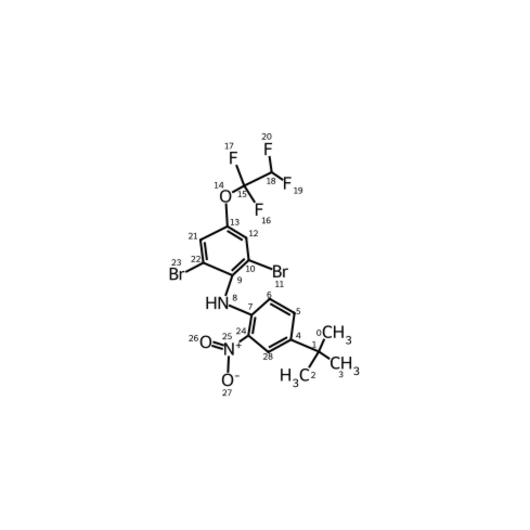 CC(C)(C)c1ccc(Nc2c(Br)cc(OC(F)(F)C(F)F)cc2Br)c([N+](=O)[O-])c1